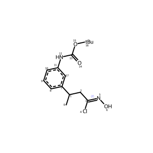 CC(C/C(Cl)=N/O)c1cccc(NC(=O)OC(C)(C)C)c1